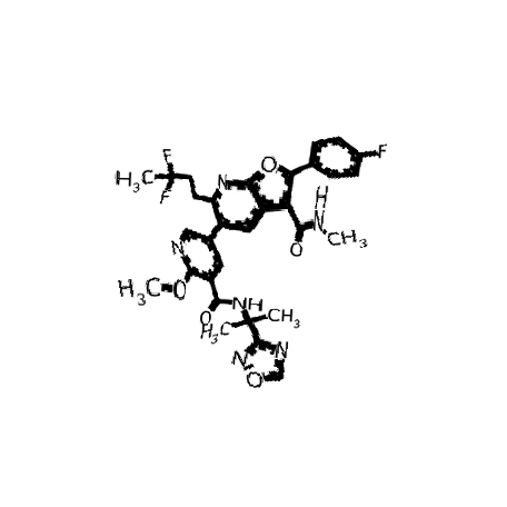 CNC(=O)c1c(-c2ccc(F)cc2)oc2nc(CCC(C)(F)F)c(-c3cnc(OC)c(C(=O)NC(C)(C)c4ncon4)c3)cc12